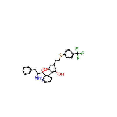 N[C@@H](Cc1ccccc1)C(=O)c1ccccc1C1=C(O)CC(CCSc2ccc(C(F)(F)F)cc2)CC1=O